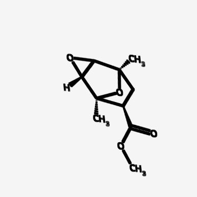 COC(=O)[C@@H]1C[C@@]2(C)O[C@]1(C)[C@@H]1OC12